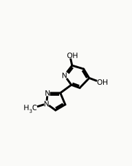 Cn1ccc(-c2cc(O)cc(O)n2)n1